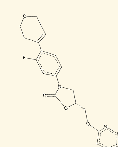 O=C1O[C@@H](COc2cccnn2)CN1c1ccc(C2=CCOCC2)c(F)c1